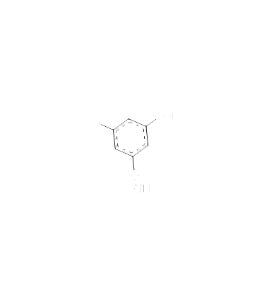 Oc1cc(O)cc(O)c1.[AlH3]